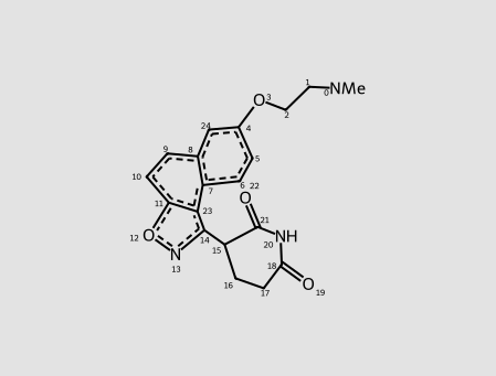 CNCCOc1ccc2c(ccc3onc(C4CCC(=O)NC4=O)c32)c1